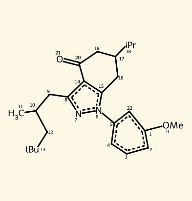 COc1cccc(-n2nc(CC(C)CC(C)(C)C)c3c2CC(C(C)C)CC3=O)c1